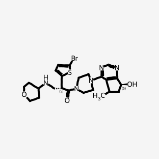 CC1C[C@H](O)c2ncnc(N3CCN(C(=O)[C@H](CNC4CCOCC4)c4ccc(Br)s4)CC3)c21